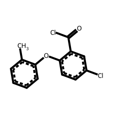 Cc1ccccc1Oc1ccc(Cl)cc1C(=O)Cl